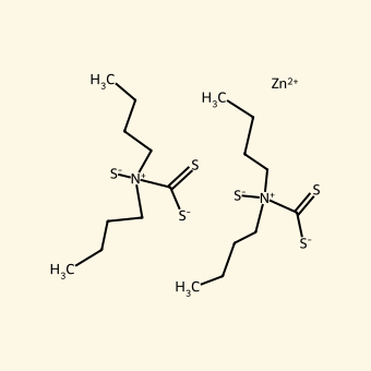 CCCC[N+]([S-])(CCCC)C(=S)[S-].CCCC[N+]([S-])(CCCC)C(=S)[S-].[Zn+2]